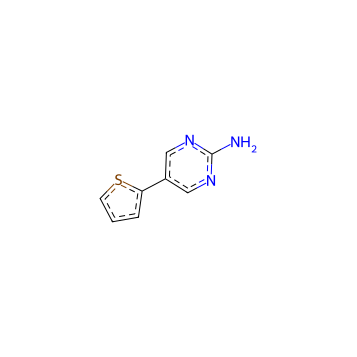 Nc1ncc(-c2cccs2)cn1